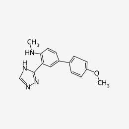 CNc1ccc(-c2ccc(OC)cc2)cc1-c1nnc[nH]1